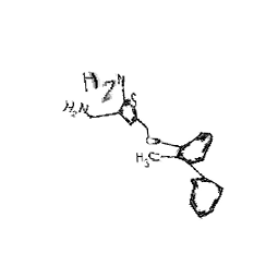 Cc1c(OCc2cc(CN)c(N)s2)cccc1-c1ccccc1